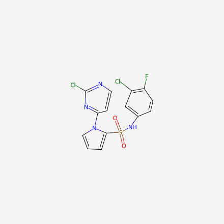 O=S(=O)(Nc1ccc(F)c(Cl)c1)c1cccn1-c1ccnc(Cl)n1